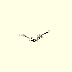 CCCCCCCC(=O)Nc1ccc(Oc2ccc(NC(=O)CCCCCCC)cc2)cc1